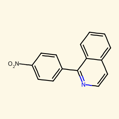 O=[N+]([O-])c1ccc(-c2nccc3ccccc23)cc1